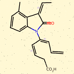 C=C/C=C(\C=C/CC(=O)O)N1C(=O)/C(=C\C)c2c(C)cccc21